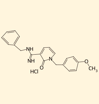 COc1ccc(Cn2cccc(C(=N)NCc3ccccc3)c2=O)cc1.Cl